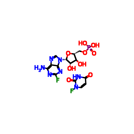 Nc1nc(F)nc2c1ncn2[C@@H]1O[C@H](COP(=O)(O)O)[C@@H](O)[C@@H]1O.O=c1ccn(F)c(=O)[nH]1